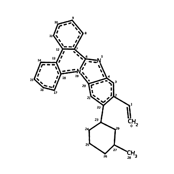 C=Cc1cc2nc3c4ccccc4c4ccccc4n3c2cc1C1CCCC(C)C1